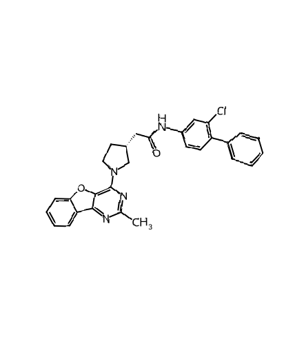 Cc1nc(N2CC[C@H](CC(=O)Nc3ccc(-c4ccccc4)c(Cl)c3)C2)c2oc3ccccc3c2n1